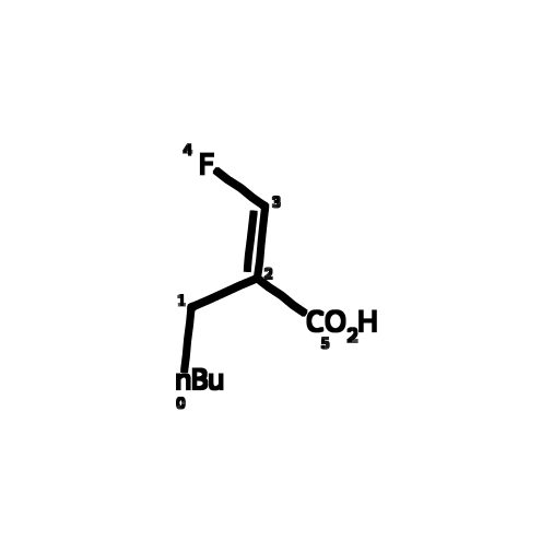 CCCCC/C(=C\F)C(=O)O